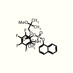 COC(C)(C)COC(=O)[C@H](C)NP(=O)(Oc1c(F)c(F)c(F)c(F)c1F)Oc1cccc2ccccc12